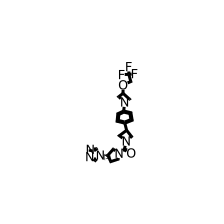 O=C(N1CC(c2ccc(N3CC(OCC(F)(F)F)C3)cc2)C1)N1CC[C@H](n2cnnc2)C1